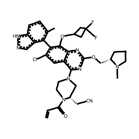 C=CC(=O)N1CCN(c2nc(OC[C@@H]3CCCN3C)nc3c(OC4CC(F)(F)C4)c(-c4c(C)ccc5[nH]ncc45)c(Cl)cc23)C[C@@H]1CC#N